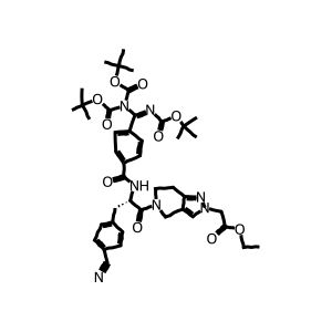 CCOC(=O)Cn1cc2c(n1)CCN(C(=O)[C@H](Cc1ccc(C#N)cc1)NC(=O)c1ccc(C(=NC(=O)OC(C)(C)C)N(C(=O)OC(C)(C)C)C(=O)OC(C)(C)C)cc1)C2